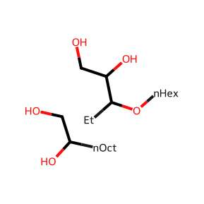 CCCCCCCCC(O)CO.CCCCCCOC(CC)C(O)CO